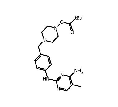 Cc1cnc(Nc2ccc(CN3CCN(OC(=O)C(C)(C)C)CC3)cc2)nc1N